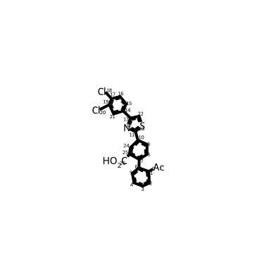 CC(=O)c1ccccc1-c1ccc(-c2nc(-c3ccc(Cl)c(Cl)c3)cs2)cc1C(=O)O